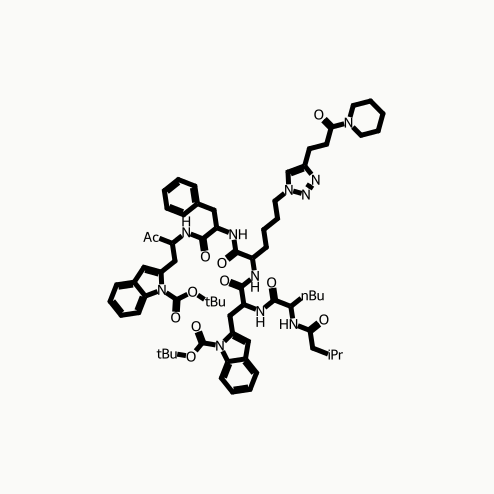 CCCCC(NC(=O)CC(C)C)C(=O)NC(Cc1cc2ccccc2n1C(=O)OC(C)(C)C)C(=O)NC(CCCCn1cc(CCC(=O)N2CCCCC2)nn1)C(=O)NC(Cc1ccccc1)C(=O)NC(Cc1cc2ccccc2n1C(=O)OC(C)(C)C)C(C)=O